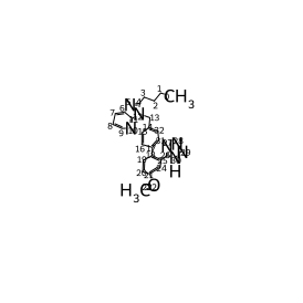 CCCCc1nc2cccnc2n1Cc1ccc(-c2ccc(OC)cc2-c2nnn[nH]2)cc1